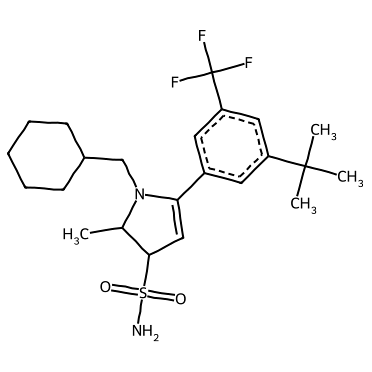 CC1C(S(N)(=O)=O)C=C(c2cc(C(C)(C)C)cc(C(F)(F)F)c2)N1CC1CCCCC1